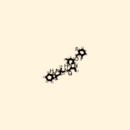 Cc1cc(OCc2c(F)cccc2F)c2nc(C)c(C(=O)NCC(C)(N)Cc3nc4ccccc4s3)n2c1